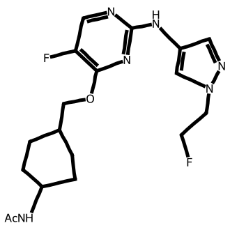 CC(=O)NC1CCC(COc2nc(Nc3cnn(CCF)c3)ncc2F)CC1